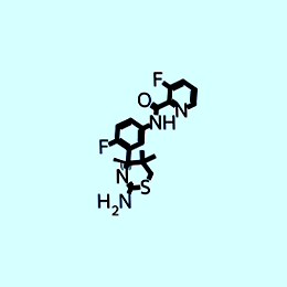 CC1(C)CSC(N)=N[C@]1(C)c1cc(NC(=O)c2ncccc2F)ccc1F